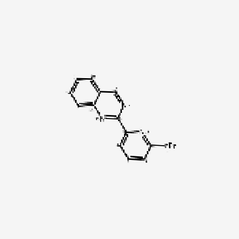 CCCc1cccc(-c2ncc3ccccc3n2)n1